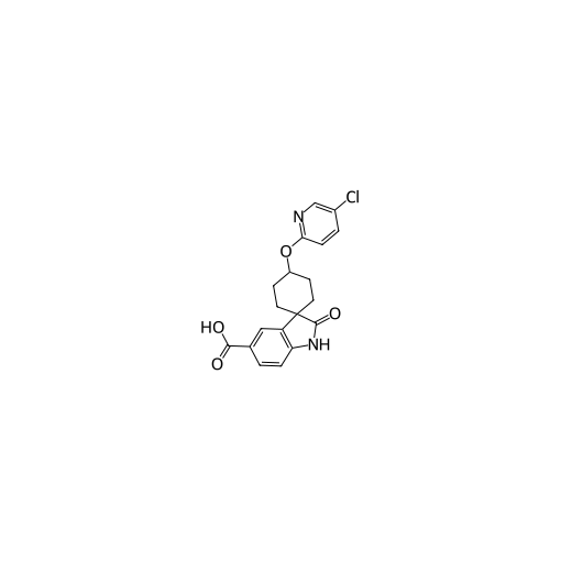 O=C(O)c1ccc2c(c1)C1(CCC(Oc3ccc(Cl)cn3)CC1)C(=O)N2